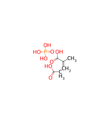 C=C(C)C(=O)O.CC(=O)O.O=P(O)(O)O